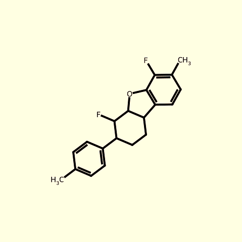 Cc1ccc(C2CCC3c4ccc(C)c(F)c4OC3C2F)cc1